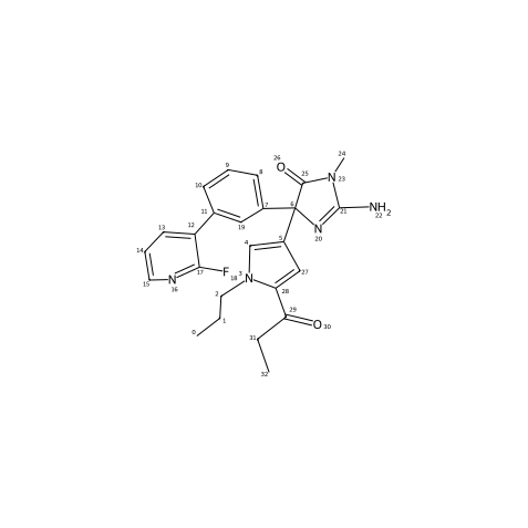 CCCn1cc(C2(c3cccc(-c4cccnc4F)c3)N=C(N)N(C)C2=O)cc1C(=O)CC